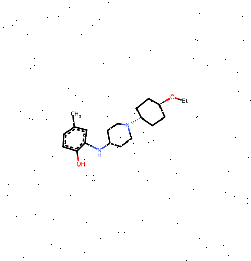 CCO[C@H]1CC[C@H](N2CCC(Nc3cc(C)ccc3O)CC2)CC1